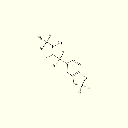 [2H]N(C(C)C([2H])([2H])c1ccc2c(c1)OC([2H])([2H])O2)C([2H])([2H])[2H]